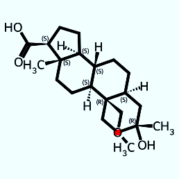 COC[C@]12CC[C@@](C)(O)C[C@@H]1CC[C@H]1[C@@H]3CC[C@H](C(=O)O)[C@@]3(C)CC[C@@H]12